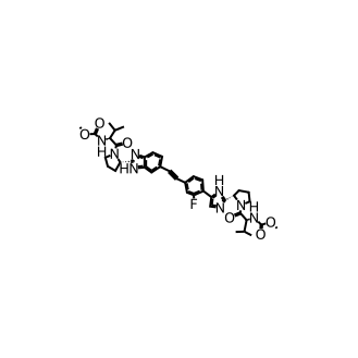 COC(=O)N[C@H](C(=O)N1CCC[C@H]1c1ncc(-c2ccc(C#Cc3ccc4nc([C@@H]5CCCN5C(=O)[C@@H](NC(=O)OC)C(C)C)[nH]c4c3)cc2F)[nH]1)C(C)C